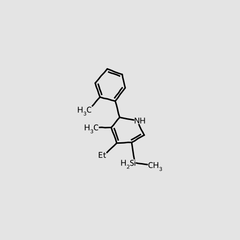 CCC1=C(C)C(c2ccccc2C)NC=C1[SiH2]C